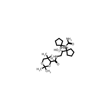 CCCCCCCC1(N(C(N)=O)C2(C(CNC(=O)C3OC(C)(C)OCC3(C)C)C(=O)O)CCCC2)CCCC1